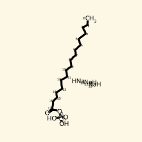 CCCCCCCCCCCCCCCCCC(=O)OP(=O)(O)O.[NaH].[NaH].[NaH]